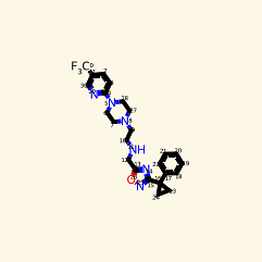 FC(F)(F)c1ccc(N2CCN(CCNCc3nc(C4(c5ccccc5)CC4)no3)CC2)nc1